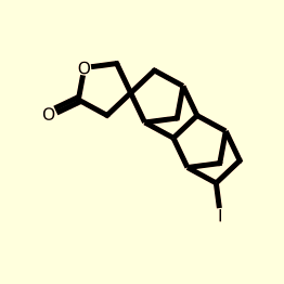 O=C1CC2(CO1)CC1CC2C2C3CC(CC3I)C12